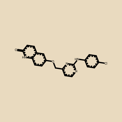 O=c1ccc2cc(OCc3ccnc(Nc4ccc(Cl)cc4)n3)ccc2[nH]1